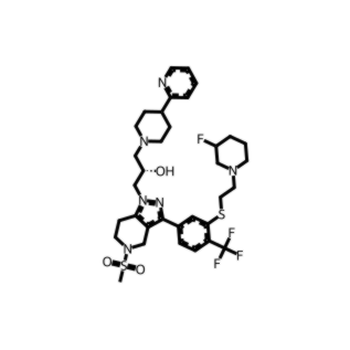 CS(=O)(=O)N1CCc2c(c(-c3ccc(C(F)(F)F)c(SCCN4CCCC(F)C4)c3)nn2C[C@@H](O)CN2CCC(c3ccccn3)CC2)C1